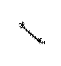 COC(=O)C(C)CCCCCCCCCCCCCCC(=O)O